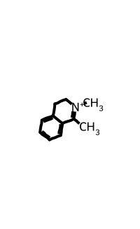 CC1=[N+](C)CCc2ccccc21